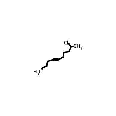 CCCCC#CCCCC(C)Cl